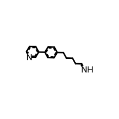 N=CCCCCc1ccc(-c2cccnc2)cc1